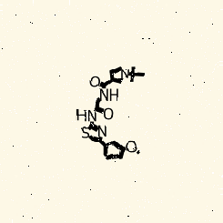 COc1cccc(-c2csc(NC(=O)CNC(=O)c3ccn(C(C)(C)C)c3)n2)c1